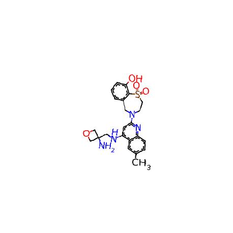 Cc1ccc2nc(N3CCS(=O)(=O)c4c(O)cccc4C3)cc(NCC3(N)COC3)c2c1